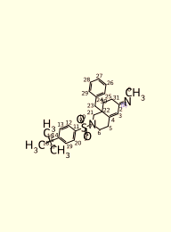 C/N=C1/C=C2CCN(S(=O)(=O)c3ccc(C(C)(C)C)cc3)CC2(Cc2ccccc2)CC1